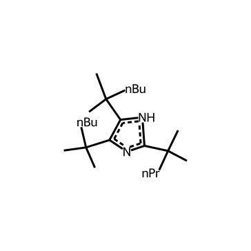 CCCCC(C)(C)c1nc(C(C)(C)CCC)[nH]c1C(C)(C)CCCC